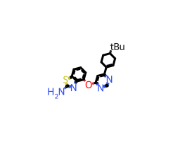 CC(C)(C)C1CC=C(c2cc(Oc3cccc4sc(N)nc34)ncn2)CC1